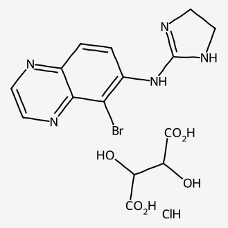 Brc1c(NC2=NCCN2)ccc2nccnc12.Cl.O=C(O)C(O)C(O)C(=O)O